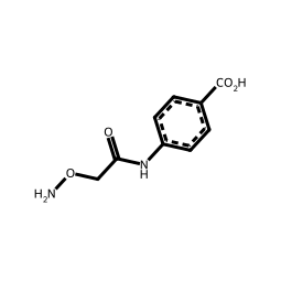 NOCC(=O)Nc1ccc(C(=O)O)cc1